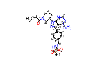 C=CC(=O)N1CCC[C@@H](n2nc(-c3ccc(CNS(=O)(=O)CC)cc3)c3c(N)ncnc32)C1